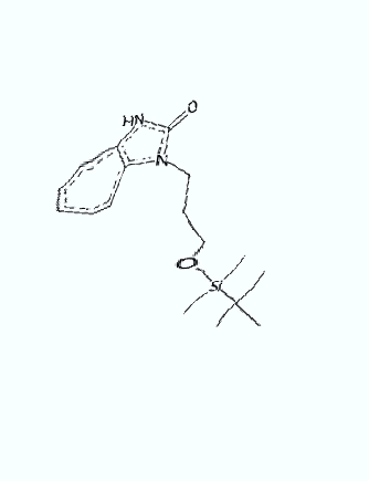 CC(C)(C)[Si](C)(C)OCCCn1c(=O)[nH]c2ccccc21